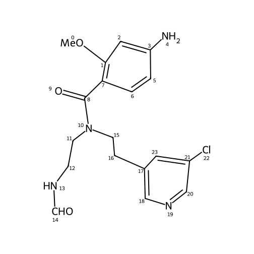 COc1cc(N)ccc1C(=O)N(CCNC=O)CCc1cncc(Cl)c1